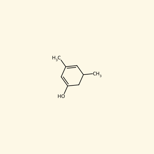 CC1=CC(C)CC(O)=C1